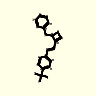 CC(C)(C)c1ccc(C=CC2=CCC2Cc2ccccc2)cc1